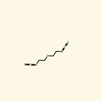 S=C=NCCOCCN=C=S